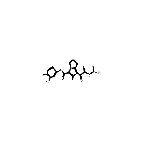 Cc1c(C(=O)C(=O)N[C@@H](C)C(F)(F)F)c2n(c1C(=O)Nc1ccc(F)c(C#N)c1)CCC2